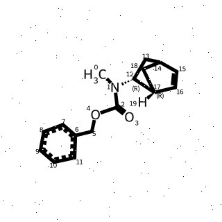 CN(C(=O)OCc1ccccc1)[C@@H]1CC2C=C[C@H]1C2